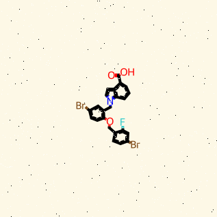 O=C(O)c1cccc2c1ccn2Cc1cc(Br)ccc1OCc1ccc(Br)cc1F